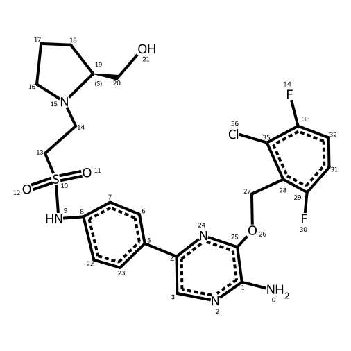 Nc1ncc(-c2ccc(NS(=O)(=O)CCN3CCC[C@H]3CO)cc2)nc1OCc1c(F)ccc(F)c1Cl